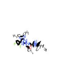 Cc1nc2nc(N3C[C@@H](C)O[C@@H](c4cnn(C5CC5C)c4)C3)nc(-c3ccc(F)cc3F)c2nc1C